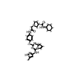 Cc1cc(Nc2nc(Sc3ccc(NC(=O)CN4CC[C@@H](C(=O)NC5CCCCC5)C4)cc3)nc3cccn23)n[nH]1